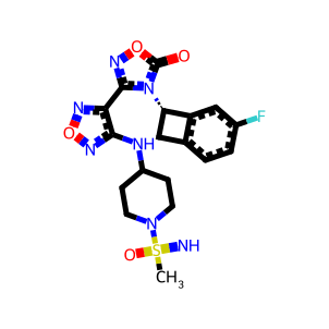 CS(=N)(=O)N1CCC(Nc2nonc2-c2noc(=O)n2[C@H]2Cc3ccc(F)cc32)CC1